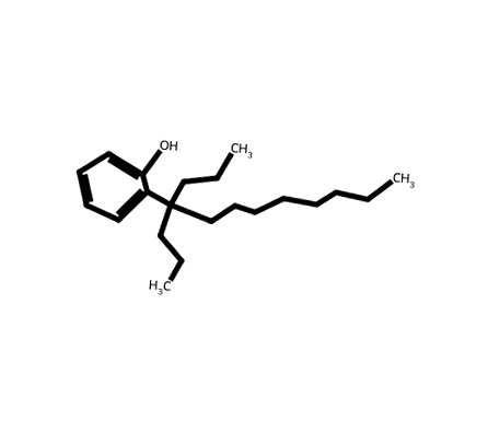 CCCCCCCCC(CCC)(CCC)c1ccccc1O